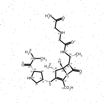 C[C@@H](NC(=O)CNCC(N)=O)[C@H]1C(=O)N2C(C(=O)O)=C(S[C@@H]3CN[C@H](C(=O)N(C)C)C3)[C@H](C)[C@H]12